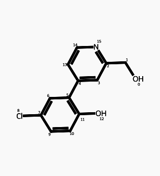 OCc1cc(-c2cc(Cl)ccc2O)ccn1